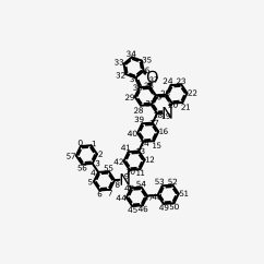 c1ccc(-c2cccc(N(c3ccc(-c4ccc(-c5nc6ccccc6c6c5ccc5c7ccccc7oc56)cc4)cc3)c3cccc(-c4ccccc4)c3)c2)cc1